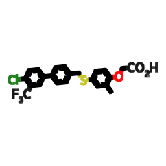 Cc1cc(SCc2ccc(-c3ccc(Cl)c(C(F)(F)F)c3)cc2)ccc1OCC(=O)O